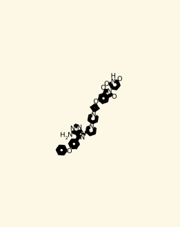 Nc1ncnc2c1c(-c1ccc(Oc3ccccc3)cc1)nn2[C@@H]1CCCN(C2CCN(C3CC(Oc4ccc5c(c4)C(=O)N(C4CCC(=O)NC4=O)C5=O)C3)CC2)C1